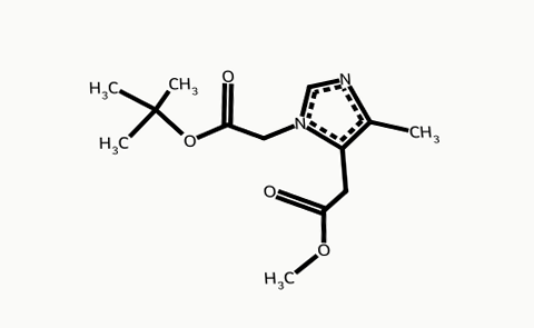 COC(=O)Cc1c(C)ncn1CC(=O)OC(C)(C)C